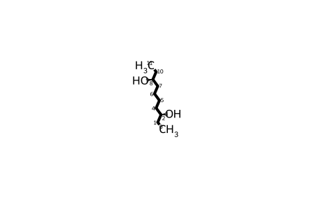 CC[C@H](O)CCCC[C@@H](O)CC